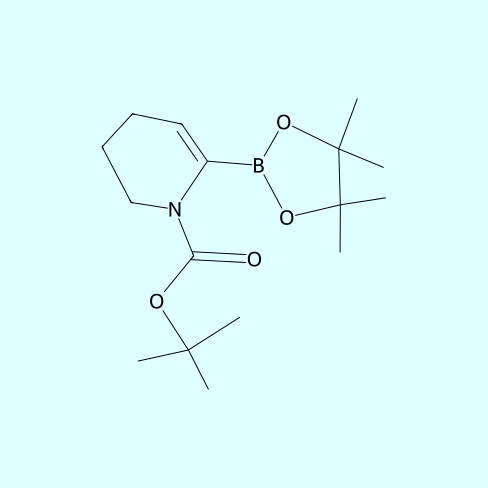 CC(C)(C)OC(=O)N1CCCC=C1B1OC(C)(C)C(C)(C)O1